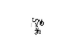 CCOC(=O)N1CCC(Nc2cc(=O)n(C)c3ccc(OC)cc23)CC1